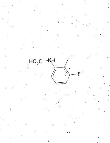 Cc1c(F)cccc1NC(=O)O